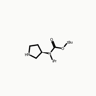 CC(C)N(C(=O)OC(C)(C)C)[C@@H]1CCNC1